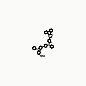 CC(C)(C)c1ccc2c(c1)c1cc(-c3ccc(N(c4ccccc4)c4ccc(-c5cnc6c7ccccc7c7ccccc7c6n5)cc4)cc3)ccc1n2-c1ccccc1